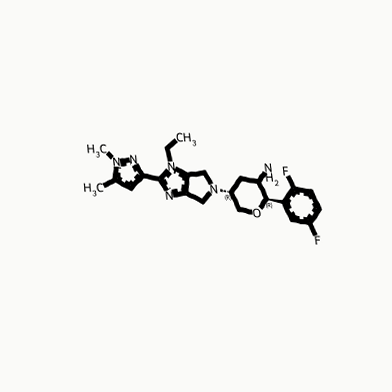 CCn1c(-c2cc(C)n(C)n2)nc2c1CN([C@H]1CO[C@H](c3cc(F)ccc3F)C(N)C1)C2